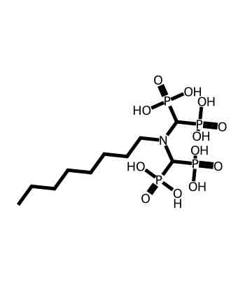 CCCCCCCCN(C(P(=O)(O)O)P(=O)(O)O)C(P(=O)(O)O)P(=O)(O)O